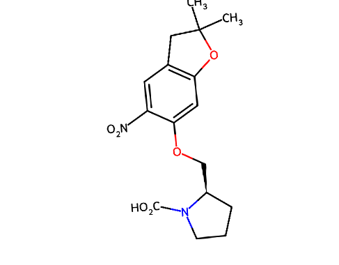 CC1(C)Cc2cc([N+](=O)[O-])c(OC[C@H]3CCCN3C(=O)O)cc2O1